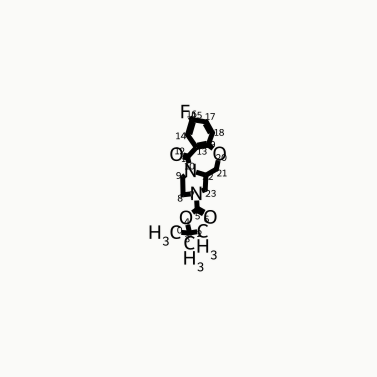 CC(C)(C)OC(=O)N1CCN2C(=O)c3cc(F)ccc3OCC2C1